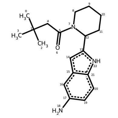 CC(C)(C)CC(=O)N1CCCCC1c1cc2cc(N)ccc2[nH]1